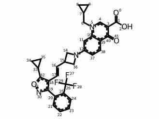 O=C(O)c1cn(CC2CC2)c2cc(N3CC(/C=C/c4c(-c5ccccc5C(F)(F)F)noc4C4CC4)C3)ccc2c1=O